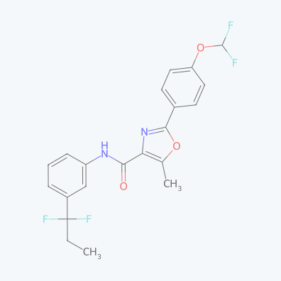 CCC(F)(F)c1cccc(NC(=O)c2nc(-c3ccc(OC(F)F)cc3)oc2C)c1